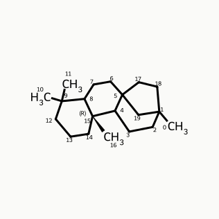 CC12CCC3C(CCC4C(C)(C)CCC[C@]43C)(CC1)C2